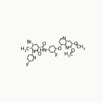 COc1cc2nccc(Oc3ccc(NC(=O)c4cc(Br)c(C)n(-c5ccc(F)cn5)c4=O)cc3F)c2nc1OC